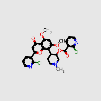 COc1cc(OC)c2c(=O)cc(-c3cccnc3Cl)oc2c1C1CCN(C)CC1OC(=O)c1cccnc1Cl